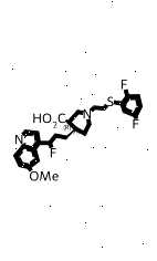 COc1ccc2nccc(C(F)CC[C@@H]3CCN(CCSc4cc(F)ccc4F)C[C@@H]3C(=O)O)c2c1